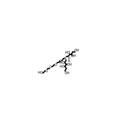 OCCOCCOCCOCCOCCN(CC(O)C(O)C(O)CCO)CC(O)C(O)C(O)CCO